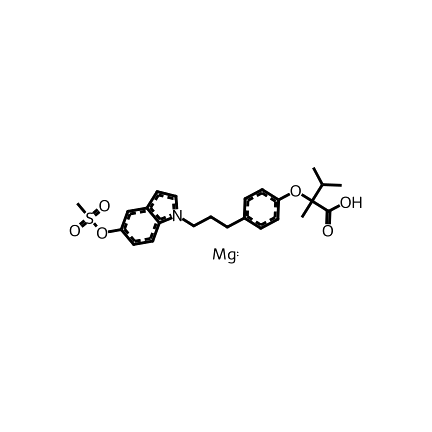 CC(C)C(C)(Oc1ccc(CCCn2ccc3cc(OS(C)(=O)=O)ccc32)cc1)C(=O)O.[Mg]